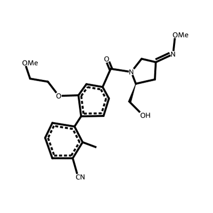 COCCOc1cc(C(=O)N2C/C(=N\OC)C[C@H]2CO)ccc1-c1cccc(C#N)c1C